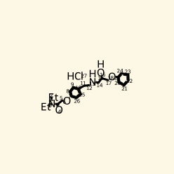 CCN(CC)C(=O)COc1ccc(CCNCC(O)COc2ccccc2)cc1.Cl